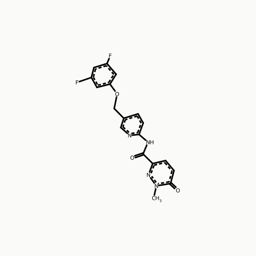 Cn1nc(C(=O)Nc2ccc(COc3cc(F)cc(F)c3)cn2)ccc1=O